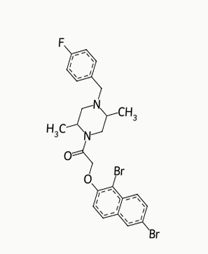 CC1CN(C(=O)COc2ccc3cc(Br)ccc3c2Br)C(C)CN1Cc1ccc(F)cc1